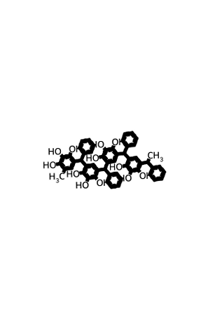 Cc1cc(C(c2ccccc2)c2cc(C(c3ccccc3)c3cc(C(c4ccccc4)c4cc(C(C)c5ccccc5)c(O)c(O)c4O)c(O)c(O)c3O)c(O)c(O)c2O)c(O)c(O)c1O